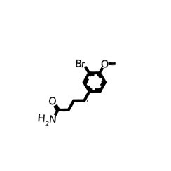 COc1ccc([CH]CCC(N)=O)cc1Br